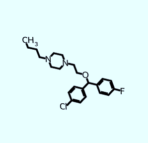 CCCCN1CCN(CCOC(c2ccc(F)cc2)c2ccc(Cl)cc2)CC1